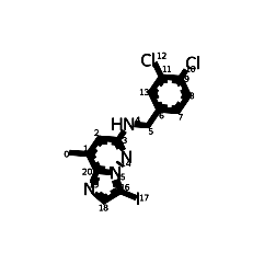 Cc1cc(NCc2ccc(Cl)c(Cl)c2)nn2c(I)cnc12